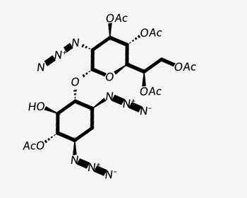 CC(=O)OC[C@@H](OC(C)=O)[C@H]1O[C@H](O[C@H]2[C@H](O)[C@@H](OC(C)=O)[C@H](N=[N+]=[N-])C[C@@H]2N=[N+]=[N-])[C@H](N=[N+]=[N-])[C@@H](OC(C)=O)[C@@H]1OC(C)=O